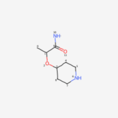 CC(OC1CCNCC1)C([NH])=O